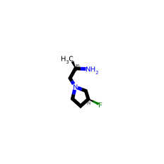 C[C@@H](N)CN1CC[C@H](F)C1